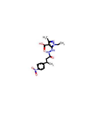 CCn1nc(C)c(C(=O)O)c1NNC(=O)CC(C)c1ccc([N+](=O)[O-])cc1